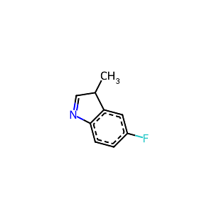 CC1C=Nc2ccc(F)cc21